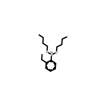 CCCCO[SiH](OCCCC)c1ccccc1CC